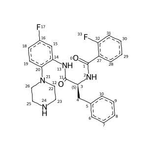 O=C(N[C@@H](Cc1ccccc1)C(=O)Nc1cc(F)ccc1N1CCNCC1)c1ccccc1F